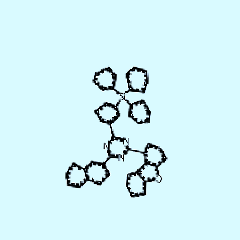 c1ccc([Si](c2ccccc2)(c2ccccc2)c2cccc(-c3nc(-c4ccc5ccccc5c4)nc(-c4cccc5oc6ccccc6c45)n3)c2)cc1